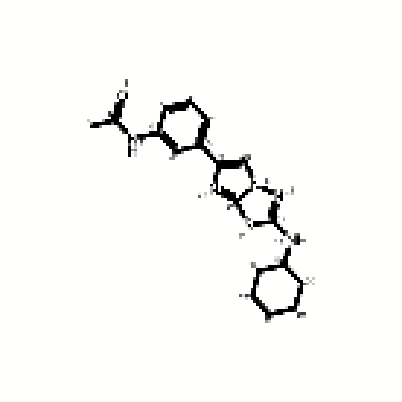 CC(=O)Nc1cccc(-c2cn3nc(NC4CCCCC4)sc3n2)c1